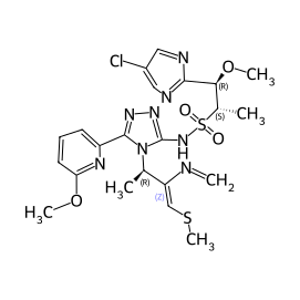 C=N/C(=C\SC)[C@@H](C)n1c(NS(=O)(=O)[C@@H](C)[C@H](OC)c2ncc(Cl)cn2)nnc1-c1cccc(OC)n1